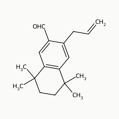 C=CCc1cc2c(cc1C=O)C(C)(C)CCC2(C)C